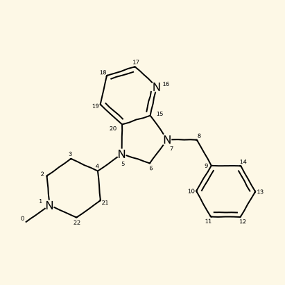 CN1CCC(N2CN(Cc3ccccc3)c3ncccc32)CC1